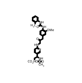 COc1cc(CC(=O)CNc2ccc(C(CC(=O)O)NS(C)(=O)=O)cn2)ccc1NC(=O)Nc1ccccc1C